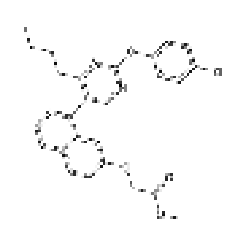 CCCCc1nc(Oc2ccc(Cl)cc2)ncc1-c1cccc2ccc(OCC(=O)OC)cc12